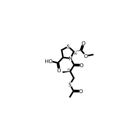 COC(=O)[C@H]1SCC(C(=O)O)N1C(=O)[C@H](C)CSC(C)=O